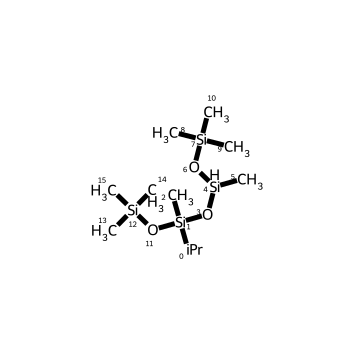 CC(C)[Si](C)(O[SiH](C)O[Si](C)(C)C)O[Si](C)(C)C